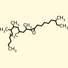 CCCCCC(C)C(C)CC(C)CC(C)C1OC1CCCCCC(C)CC